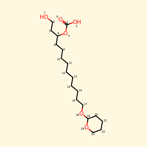 O=C(O)OC(CCO)CCCCCCCCCCOC1CCCCO1